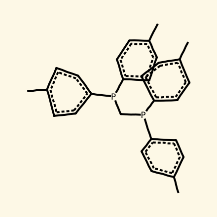 Cc1ccc(P(CP(c2ccc(C)cc2)c2ccc(C)cc2)c2ccc(C)cc2)cc1